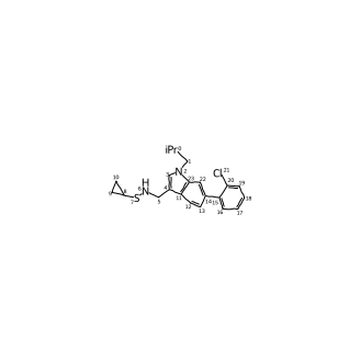 CC(C)Cn1cc(CNSC2CC2)c2ccc(-c3ccccc3Cl)cc21